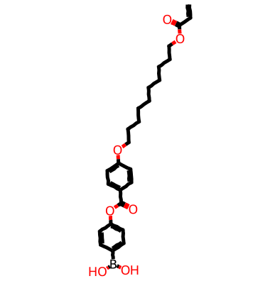 C=CC(=O)OCCCCCCCCCCOc1ccc(C(=O)Oc2ccc(B(O)O)cc2)cc1